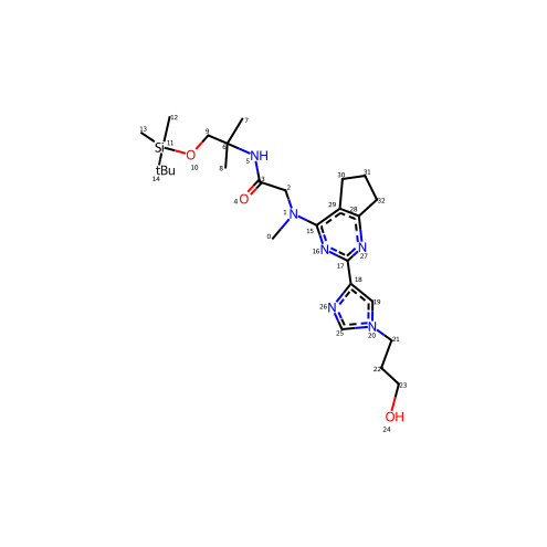 CN(CC(=O)NC(C)(C)CO[Si](C)(C)C(C)(C)C)c1nc(-c2cn(CCCO)cn2)nc2c1CCC2